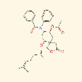 CC(=O)O[C@H]1CC2(CC(=O)O[C@@H]2/C=C(\C)CCC=C(C)C)C(=O)C[C@@H]1N(C(=O)c1ccccc1)c1ccccc1